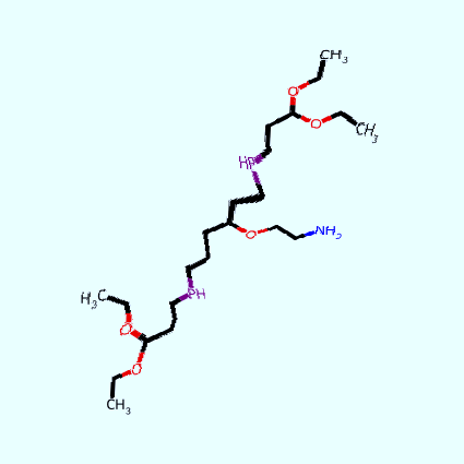 CCOC(CCPCCCC(CCPCCC(OCC)OCC)OCCN)OCC